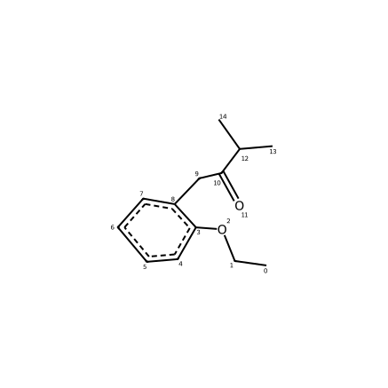 CCOc1ccccc1CC(=O)C(C)C